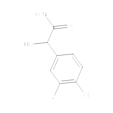 NC(=O)C(O)c1ccc(Cl)c(F)c1